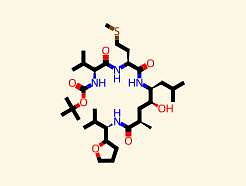 CSCC[C@H](NC(=O)[C@@H](NC(=O)OC(C)(C)C)C(C)C)C(=O)N[C@@H](CC(C)C)[C@@H](O)C[C@@H](C)C(=O)N[C@@H](C(C)C)C1CCCO1